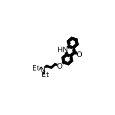 CCN(CC)CCCOc1ccc2c(=O)c3ccccc3[nH]c2c1